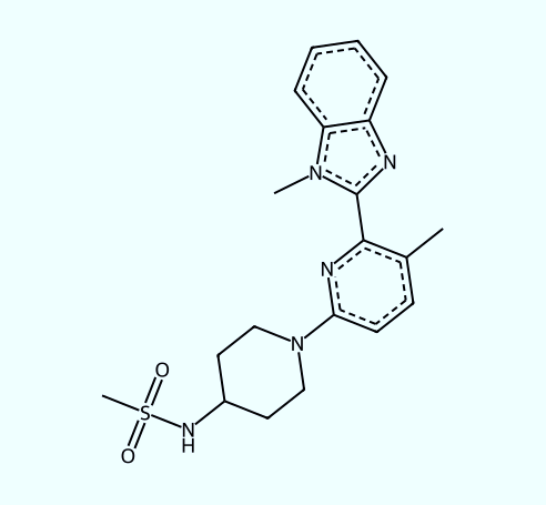 Cc1ccc(N2CCC(NS(C)(=O)=O)CC2)nc1-c1nc2ccccc2n1C